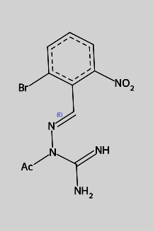 CC(=O)N(/N=C/c1c(Br)cccc1[N+](=O)[O-])C(=N)N